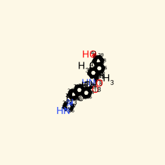 C[C@@]12CCC[C@](C)(C(=O)NC(=O)[C@@]3(C)CCC[C@]4(C)c5cc(N6CCNCC6)ccc5CC[C@@H]34)[C@H]1CCc1ccc(O)cc12